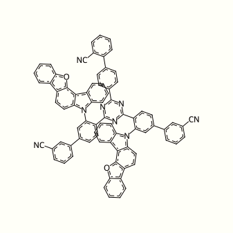 N#Cc1cccc(-c2ccc(-c3nc(-c4ccc(-c5ccccc5C#N)cc4)nc(-c4ccc(-c5cccc(C#N)c5)cc4-n4c5ccccc5c5c6oc7ccccc7c6ccc54)n3)c(-n3c4ccccc4c4c5oc6ccccc6c5ccc43)c2)c1